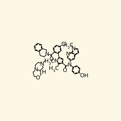 Cc1c(C(=O)N(c2ccc(O)cc2)c2cnc3c(ccn3C)c2)cc(-c2cc(Cl)ccc2C(=O)N2Cc3ccccc3C[C@H]2CN2CCN3CCOC[C@@H]3C2)n1C